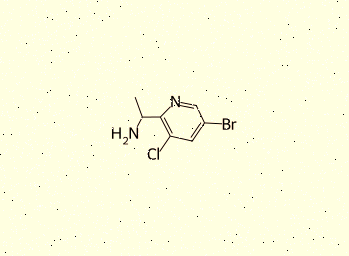 CC(N)c1ncc(Br)cc1Cl